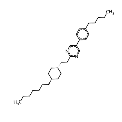 CCCCCCC[C@H]1CC[C@H](CCc2ncc(-c3ccc(CCCCC)cc3)cn2)CC1